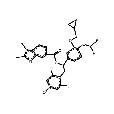 Cc1nc2cc(C(=O)OC(Cc3c(Cl)c[n+]([O-])cc3Cl)c3ccc(OC(F)F)c(OCC4CC4)c3)ccc2n1C